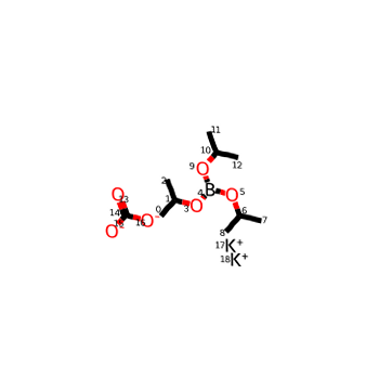 CC(C)OB(OC(C)C)OC(C)C.O=C([O-])[O-].[K+].[K+]